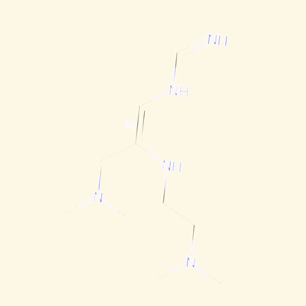 CN(C)CCN/C(=C\NC=N)CN(C)C